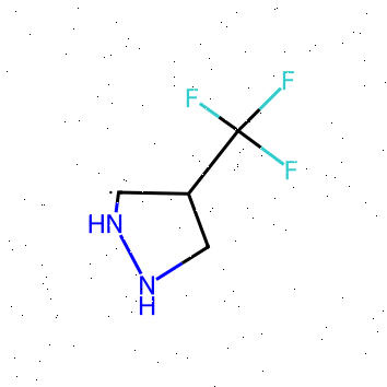 FC(F)(F)C1[CH]NNC1